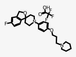 Fc1ccc2c(c1)COC21CCN(c2ccc(OCCCN3CCCCC3)cc2)CC1.O=C(O)C(F)(F)F